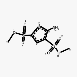 COS(=O)(=O)c1cc(S(=O)(=O)OC)c(N)s1